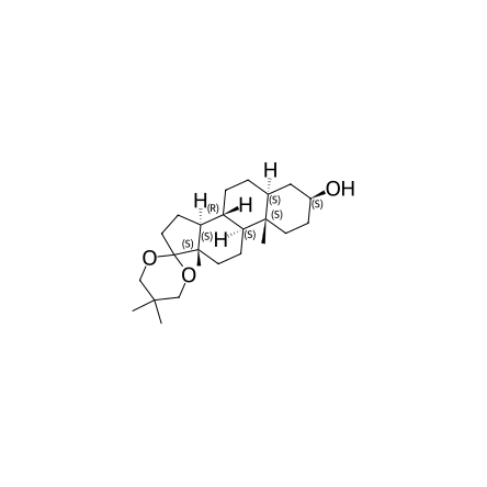 CC1(C)COC2(CC[C@H]3[C@@H]4CC[C@H]5C[C@@H](O)CC[C@]5(C)[C@H]4CC[C@@]32C)OC1